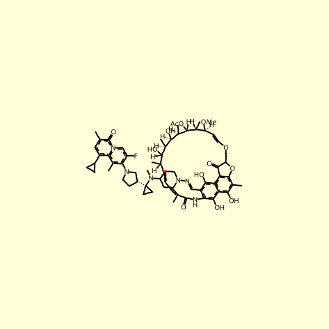 CO[C@H]1/C=C/O[C@@]2(C)Oc3c(C)c(O)c4c(O)c(c(/C=N/N5CCC(N(C)C6([C@@H]7CCN(c8c(F)cn9c(=O)c(C)cc(C%10CC%10)c9c8C)C7)CC6)CC5)c(O)c4c3C2=O)NC(=O)/C(C)=C\C=C\[C@H](C)[C@H](O)[C@@H](C)[C@@H](O)[C@@H](C)[C@H](OC(C)=O)[C@@H]1C